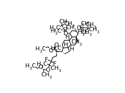 CCOC(=O)[C@H](CCC(F)(F)C(C)(C)OC(C)OCC)[C@H]1CC[C@H]2[C@@H]3CC=C4C[C@@H](O[Si](C)(C)C(C)(C)C)C[C@H](O[Si](C)(C)C(C)(C)C)[C@]4(C)[C@H]3CC[C@]12C